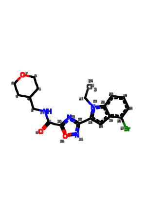 O=C(NCC1CCOCC1)c1nc(-c2cc3c(Br)cccc3n2CC(F)(F)F)no1